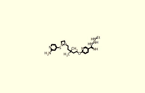 CCNNNC(=N)c1ccc(OCCC(C)(C)CCN2CCN2Sc2ccnc(N)c2)nc1